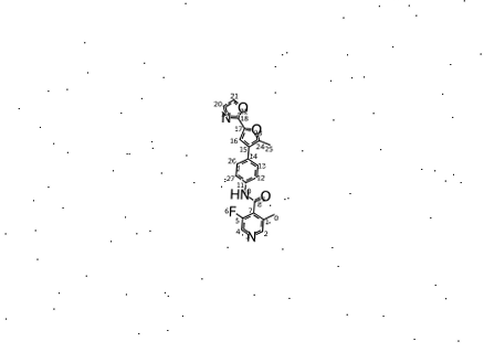 Cc1cncc(F)c1C(=O)Nc1ccc(-c2cc(-c3ncco3)oc2C)cc1